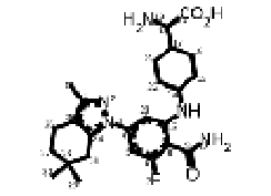 Cc1nn(-c2cc(F)c(C(N)=O)c(NC3CCC(C(N)C(=O)O)CC3)c2)c2c1CCC(C)(C)C2